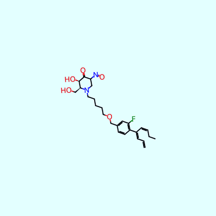 C=C/C=C(\C=C/CC)c1ccc(COCCCCCN2CC(N=O)C(=O)[C@H](O)[C@@H]2CO)cc1F